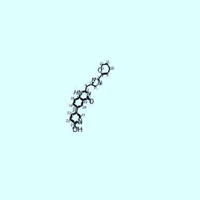 O=c1nc(CC2=NC(C3=CCCCO3)=NC2)[nH]c2ccc(-c3ccc(O)nc3)cc12